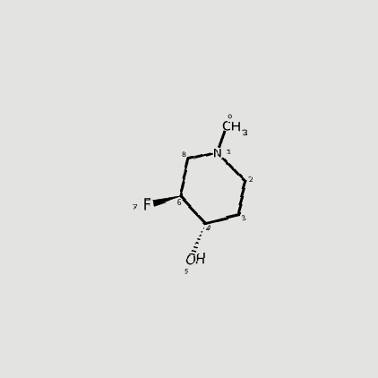 CN1CC[C@H](O)[C@@H](F)C1